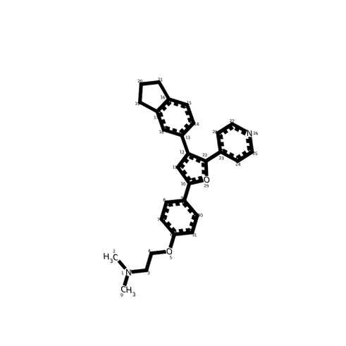 CN(C)CCOc1ccc(-c2cc(-c3ccc4c(c3)CCC4)c(-c3ccncc3)o2)cc1